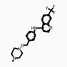 CN1CCN(OCc2ccc(Nc3ccnc4cc(C(F)(F)F)ccc34)cc2)CC1